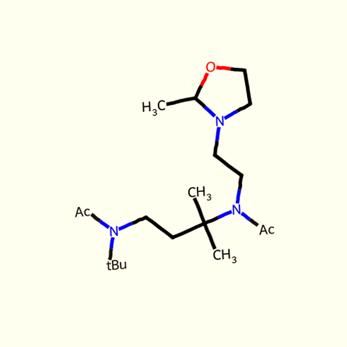 CC(=O)N(CCC(C)(C)N(CCN1CCOC1C)C(C)=O)C(C)(C)C